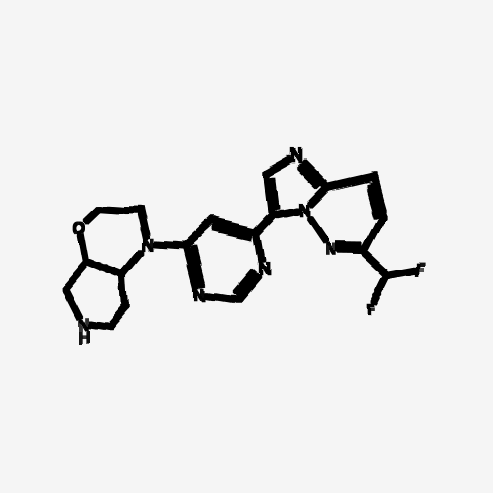 FC(F)c1ccc2ncc(-c3cc(N4CCOC5CNCCC54)ncn3)n2n1